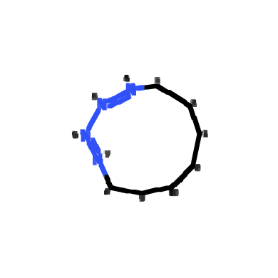 C1CCCN=NN=NCCC1